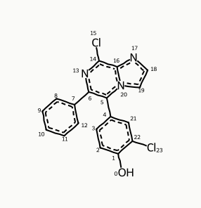 Oc1ccc(-c2c(-c3ccccc3)nc(Cl)c3nccn23)cc1Cl